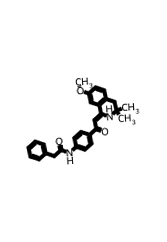 COc1ccc2c(c1)C(=CC(=O)c1ccc(NC(=O)Cc3ccccc3)cc1)NC(C)(C)C2